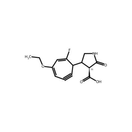 CCOC1=CC#CC(C2CNC(=O)[C@H]2C(=O)O)C(F)=C1